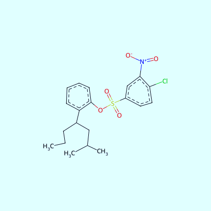 CCCC(CC(C)C)c1ccccc1OS(=O)(=O)c1ccc(Cl)c([N+](=O)[O-])c1